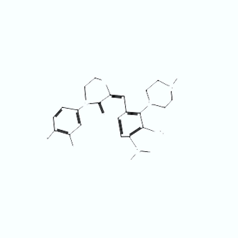 CN1CCN(c2c(C=C3SCCN(c4ccc(Cl)c(Cl)c4)C3=O)ccc(N(C)C)c2C#N)CC1